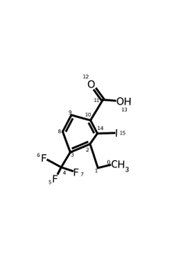 CCc1c(C(F)(F)F)ccc(C(=O)O)c1I